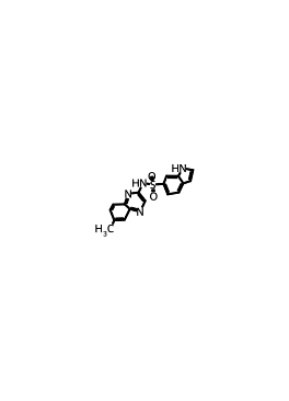 Cc1ccc2nc(NS(=O)(=O)c3ccc4cc[nH]c4c3)cnc2c1